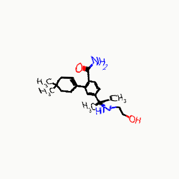 CC1(C)CC=C(c2cc(C(C)(C)NCCO)ccc2C(N)=O)CC1